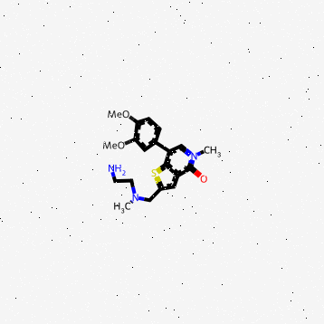 COc1ccc(-c2cn(C)c(=O)c3cc(CN(C)CCN)sc23)cc1OC